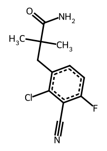 CC(C)(Cc1ccc(F)c(C#N)c1Cl)C(N)=O